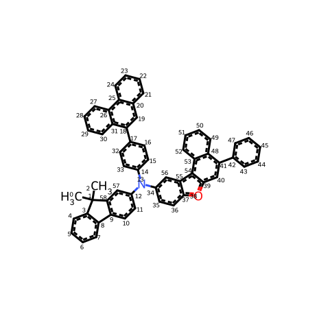 CC1(C)c2ccccc2-c2ccc(N(c3ccc(-c4cc5ccccc5c5ccccc45)cc3)c3ccc4oc5cc(-c6ccccc6)c6ccccc6c5c4c3)cc21